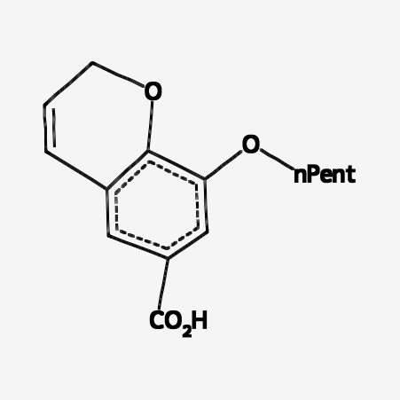 CCCCCOc1cc(C(=O)O)cc2c1OCC=C2